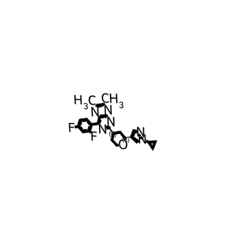 Cc1nc2nc([C@@H]3CCO[C@@H](c4cnn(C5CC5)c4)C3)nc(-c3ccc(F)cc3F)c2nc1C